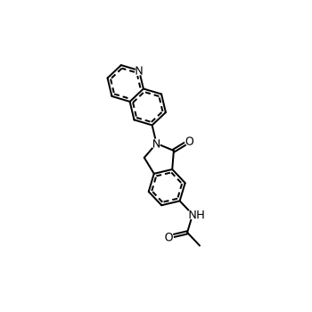 CC(=O)Nc1ccc2c(c1)C(=O)N(c1ccc3ncccc3c1)C2